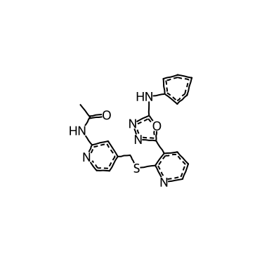 CC(=O)Nc1cc(CSc2ncccc2-c2nnc(Nc3ccccc3)o2)ccn1